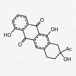 CC(=O)C1(O)CCc2cc3c(c(O)c2C1)C(=O)c1cccc(O)c1C3=O